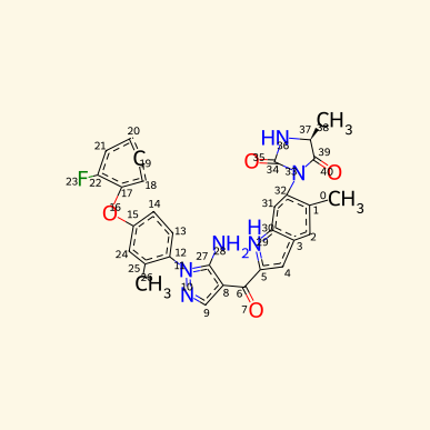 Cc1cc2cc(C(=O)c3cnn(-c4ccc(Oc5ccccc5F)cc4C)c3N)[nH]c2cc1N1C(=O)N[C@@H](C)C1=O